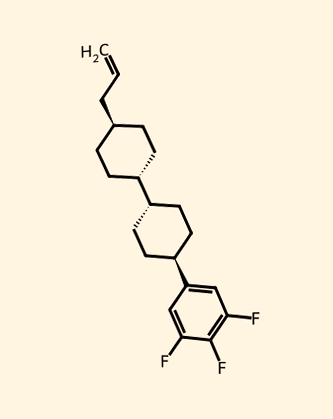 C=CC[C@H]1CC[C@H]([C@H]2CC[C@H](c3cc(F)c(F)c(F)c3)CC2)CC1